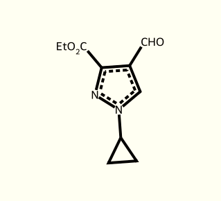 CCOC(=O)c1nn(C2CC2)cc1C=O